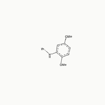 COc1ccc(OC)c(NC(C)C)c1